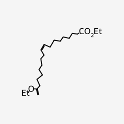 C=C(CCCCCCC/C=C\CCCCCCCC(=O)OCC)OCC